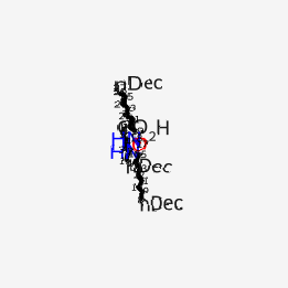 CCCCCCCCCCCCCCCC(=O)O.CCCCCCCCCCCCCCCCCCNONCCCCCCCCCCCCCCCCCC